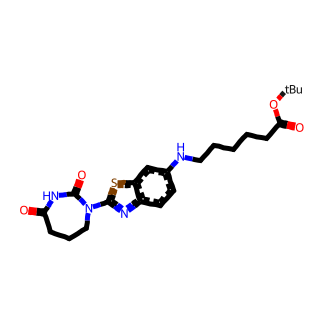 CC(C)(C)OC(=O)CCCCCNc1ccc2nc(N3CCCC(=O)NC3=O)sc2c1